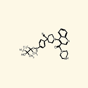 CC(C)(O)C(C)(C)OBc1ccc(C2(C#N)CCN(c3c(C(=O)N4CCNCC4)cnc4ccccc34)CC2)cc1